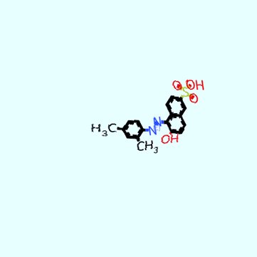 Cc1ccc(/N=N/c2c(O)ccc3cc(S(=O)(=O)O)ccc23)c(C)c1